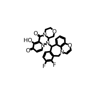 O=C1c2c(O)c(=O)ccn2N(C2c3ccc(F)c(F)c3CN3C=COc4cccc2c43)C2COCCN12